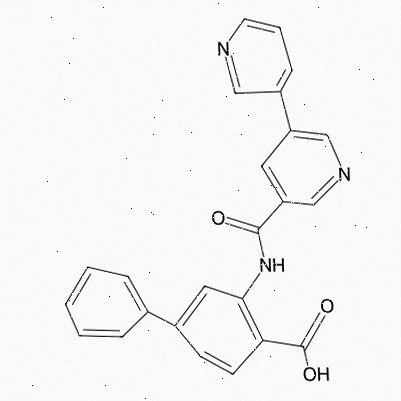 O=C(Nc1cc(-c2ccccc2)ccc1C(=O)O)c1cncc(-c2cccnc2)c1